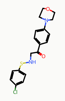 O=C(CNSc1ccc(Cl)cc1)c1ccc(N2CCOCC2)cc1